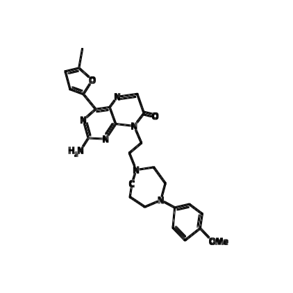 COc1ccc(N2CCCN(CCn3c(=O)cnc4c(-c5ccc(C)o5)nc(N)nc43)CC2)cc1